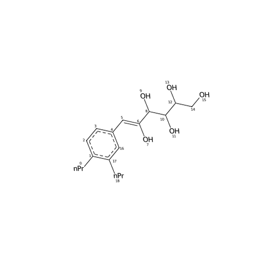 CCCc1ccc(C=C(O)C(O)C(O)C(O)CO)cc1CCC